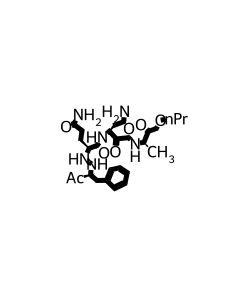 CCCOCC(=O)[C@H](C)NCC(=O)[C@H](CC(N)=O)NC(=O)[C@H](CCC(N)=O)NN[C@@H](Cc1ccccc1)C(C)=O